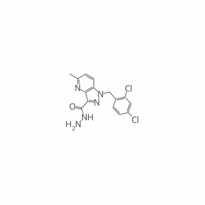 Cc1ccc2c(n1)c(C(=O)NN)nn2Cc1ccc(Cl)cc1Cl